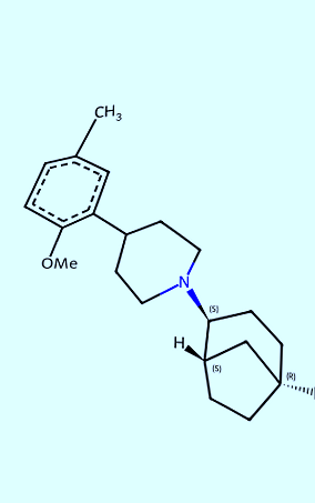 COc1ccc(C)cc1C1CCN([C@H]2CC[C@H]3CC[C@H]2C3)CC1